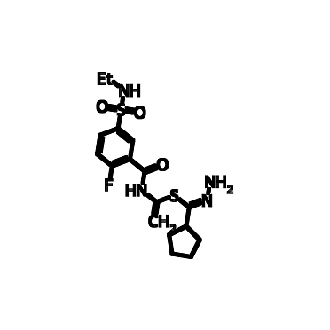 C=C(NC(=O)c1cc(S(=O)(=O)NCC)ccc1F)S/C(=N\N)C1CCCC1